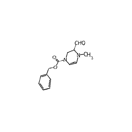 CN1C=CN(C(=O)OCc2ccccc2)CC1C=O